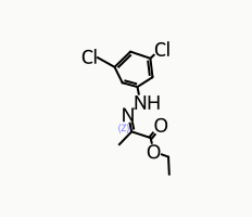 CCOC(=O)/C(C)=N\Nc1cc(Cl)cc(Cl)c1